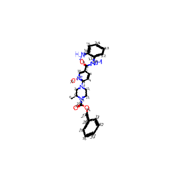 C[C@H]1CN(c2ccc(C(=O)Nc3ccccc3N)c[n+]2[O-])CCN1C(=O)OCc1ccccc1